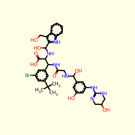 CC(C)(C)c1cc(Br)cc(C(NC(=O)CNC(O)c2cc(O)cc(NC3=NCC(O)CN3)c2)C(NC(O)c2[nH]c3ccccc3c2CO)C(=O)O)c1